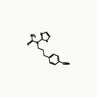 COc1ccc(CCCN(C(N)=S)c2nccs2)cc1